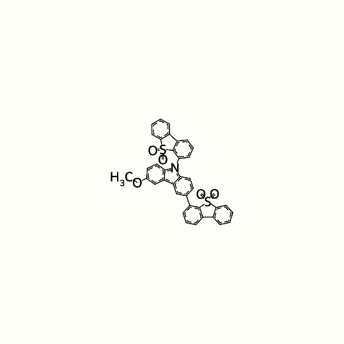 COc1ccc2c(c1)c1cc(-c3cccc4c3S(=O)(=O)c3ccccc3-4)ccc1n2-c1cccc2c1S(=O)(=O)c1ccccc1-2